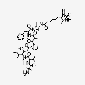 CCC(C)C(C(CC(=O)N1CCCC1C(OC)C(C)C(=O)NC(Cc1ccccc1)C(=O)NCCNC(=O)CCCCCC1NC(=O)NC1C)OC)N(C)C(=O)C(NC(=O)C(C)(C)N)C(C)C